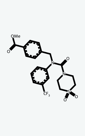 COC(=O)c1ccc(CN(C(=O)N2CCS(=O)(=O)CC2)c2cccc(C(F)(F)F)c2)cc1